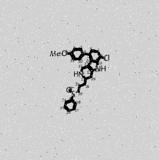 COc1ccc(-c2ccc(Cl)c3[nH]c4c(c23)CNC(CCC[S+]([O-])c2ccccc2)C4)cc1